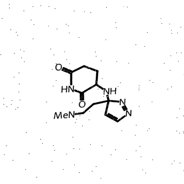 CNCCC1(NC2CCC(=O)NC2=O)C=CN=N1